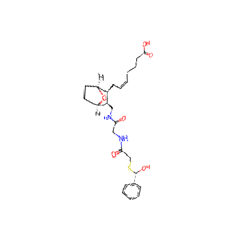 O=C(O)CCC/C=C\C[C@H]1[C@@H](CNC(=O)CNC(=O)CSC(O)c2ccccc2)[C@H]2CC[C@@H]1O2